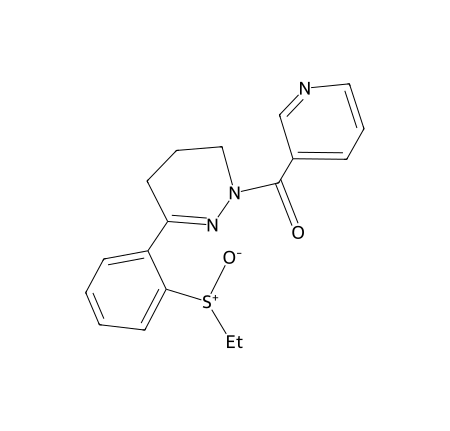 CC[S+]([O-])c1ccccc1C1=NN(C(=O)c2cccnc2)CCC1